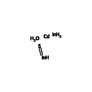 O.[Cd].[InH3].[S]=[InH]